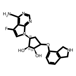 Nc1ncnc2c1c(F)cn2[C@H]1CC(Oc2cccc3c2CNC3)[C@@H](O)[C@H]1O